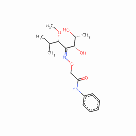 CO[C@H](/C(=N/OCC(=O)Nc1ccccc1)[C@@H](O)[C@@H](C)O)C(C)C